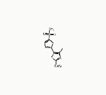 CC(=O)Nc1nc(C)c(-c2ccc(S(N)(=O)=O)s2)s1